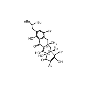 CCCCC(CCCC)Cc1cc(C(C)C)c2c(c1O)C(=O)C1=C(O)[C@@]3(O)C(=O)C(C(C)=O)=C(O)C(C(C)C)[C@@]3(C)C[C@@]1(C)C2